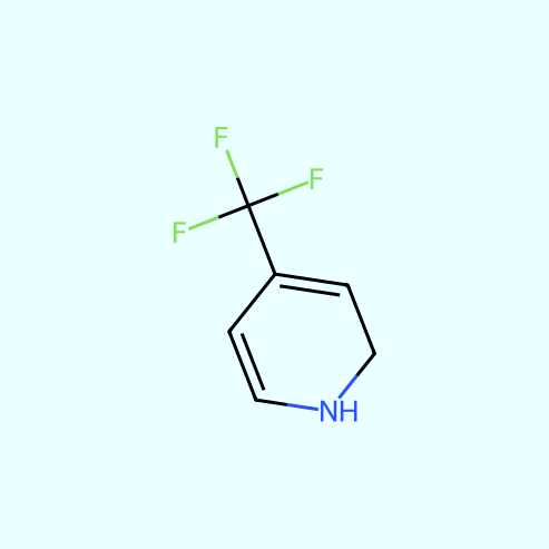 FC(F)(F)C1=CCNC=C1